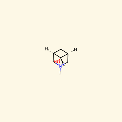 CN1C[C@H]2C[C@@H](C1)[C@@H]2O